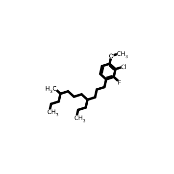 CCCC(C)CCCC(CCC)CCCc1ccc(OC)c(Cl)c1F